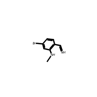 CNc1cc(Br)ccc1C=N